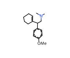 COc1ccc(C(CN(C)C)C2=CCCCC2)cc1